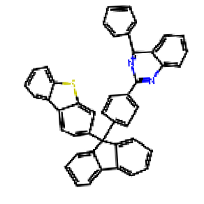 c1ccc(-c2nc(-c3ccc(C4(c5ccc6c(c5)sc5ccccc56)c5ccccc5-c5ccccc54)cc3)nc3ccccc23)cc1